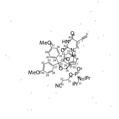 C#Cc1cn([C@H]2C[C@H](OP(OCCC#N)N(C(C)C)C(C)C)[C@@H](COC(c3ccccc3)(c3ccc(OC)cc3)c3ccc(OC)cc3)O2)c(=O)[nH]c1=O